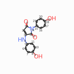 O=C1C=C(Nc2ccc(O)cc2)C(=O)N1c1ccc(O)cc1